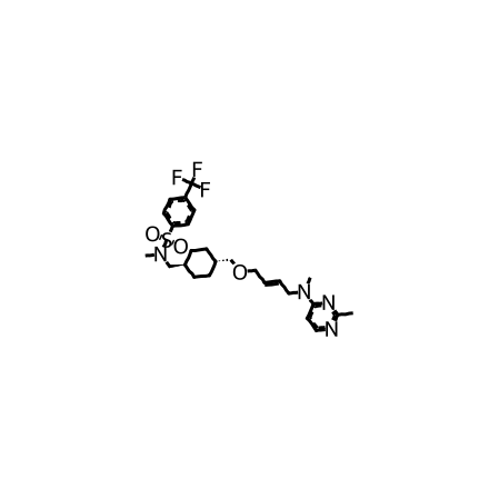 Cc1nccc(N(C)C/C=C/COC[C@H]2CC[C@H](CN(C)S(=O)(=O)c3ccc(C(F)(F)F)cc3)CC2)n1